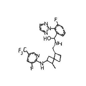 CC1C(Nc2ncc(C(F)(F)F)cc2F)CC12CCC2CNC(O)c1cccc(F)c1-n1nccn1